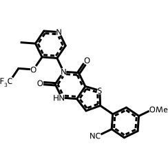 COc1ccc(C#N)c(-c2cc3[nH]c(=O)n(-c4cncc(C)c4OCC(F)(F)F)c(=O)c3s2)c1